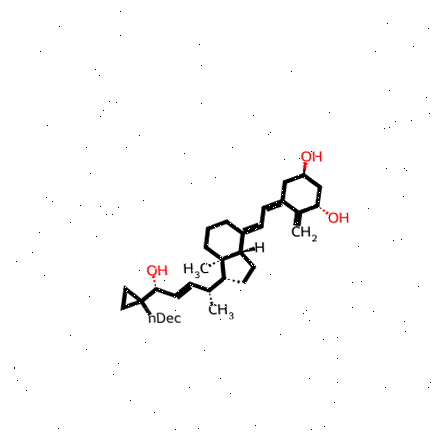 C=C1/C(=C\C=C2/CCC[C@]3(C)[C@@H]([C@H](C)/C=C/[C@@H](O)C4(CCCCCCCCCC)CC4)CC[C@@H]23)C[C@@H](O)C[C@@H]1O